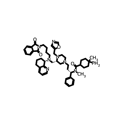 CN(C(=O)C1CCC(C)(P)CC1)[C@@H](CCN1CCN(Cc2cnco2)[C@@H](CN(CCCCN2C(=O)c3ccccc3C2=O)[C@H]2CCCc3cccnc32)C1)c1ccccc1